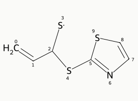 C=CC([S])Sc1nccs1